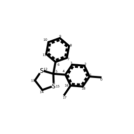 Cc1ccc(C2(c3ccccc3)SCCS2)c(C)c1